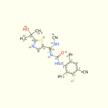 CC(C)c1cc(C#N)c(F)c(C(C)C)c1NC(=O)/N=[Si](\NC#N)c1cnc(C(C)(C)O)s1